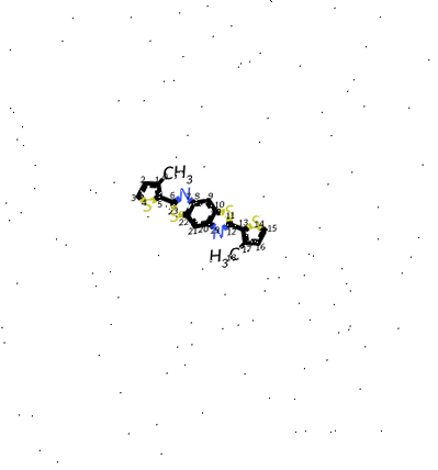 Cc1ccsc1-c1nc2cc3sc(-c4sccc4C)nc3cc2s1